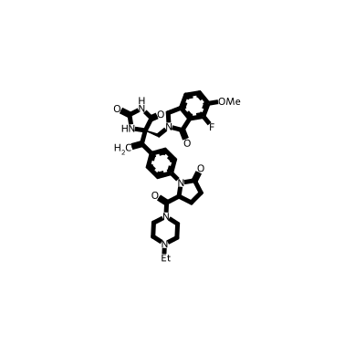 C=C(c1ccc(N2C(=O)CCC2C(=O)N2CCN(CC)CC2)cc1)[C@]1(CN2Cc3ccc(OC)c(F)c3C2=O)NC(=O)NC1=O